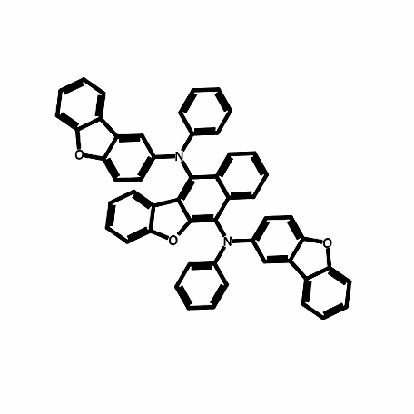 c1ccc(N(c2ccc3oc4ccccc4c3c2)c2c3ccccc3c(N(c3ccccc3)c3ccc4oc5ccccc5c4c3)c3c2oc2ccccc23)cc1